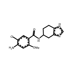 COc1cc(N)c(Cl)cc1C(=O)NC1CCc2[nH]cnc2C1